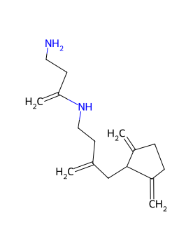 C=C(CCNC(=C)CCN)CC1C(=C)CCC1=C